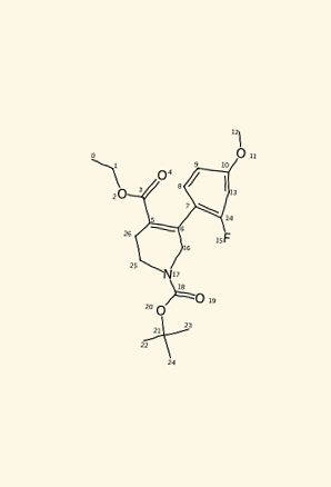 CCOC(=O)C1=C(c2ccc(OC)cc2F)CN(C(=O)OC(C)(C)C)CC1